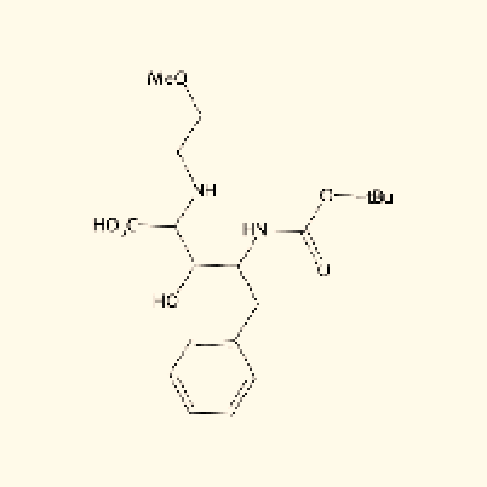 COCCNC(C(=O)O)C(O)C(Cc1ccccc1)NC(=O)OC(C)(C)C